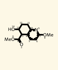 COC(=O)C1c2ccc(OC)nc2CCC1O